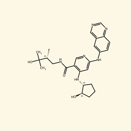 CC(C)(O)[C@H](F)CNC(=O)c1cnc(Nc2ccc3ncncc3c2)cc1N[C@@H]1CCC[C@H]1O